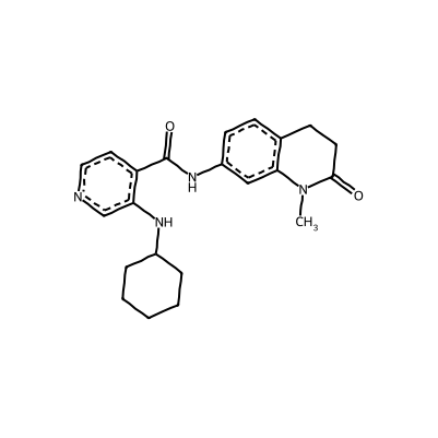 CN1C(=O)CCc2ccc(NC(=O)c3ccncc3NC3CCCCC3)cc21